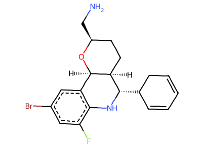 NC[C@H]1CC[C@@H]2[C@H](O1)c1cc(Br)cc(F)c1N[C@H]2C1C=CC=CC1